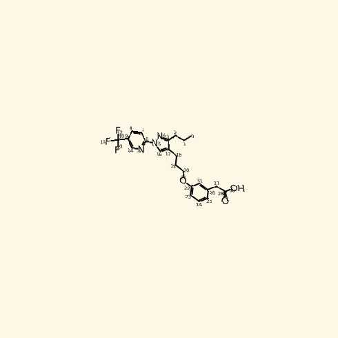 CCCc1nn(-c2ccc(C(F)(F)F)cn2)cc1CCCOc1cccc(CC(=O)O)c1